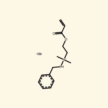 Br.C=CC(=O)OCC[N+](C)(C)PCc1ccccc1